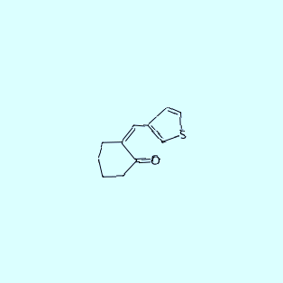 O=C1CCCCC1=Cc1ccsc1